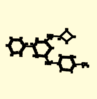 Cc1ccc(Nc2cc(NC3CCC3)nc(-c3ccccn3)n2)cn1